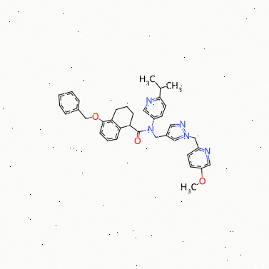 COc1ccc(Cn2cc(CN(C(=O)C3CCCc4c(OCc5ccccc5)cccc43)c3ccc(C(C)C)nc3)cn2)nc1